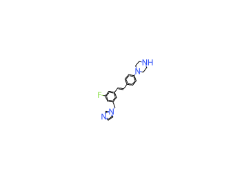 Fc1cc(C=Cc2ccc(N3CCNCC3)cc2)cc(Cn2ccnc2)c1